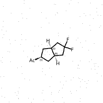 CC(=O)[C@@H]1C[C@@H]2CC(F)(F)C[C@@H]2C1